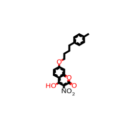 Cc1ccc(CCCCOc2ccc3c(O)c([N+](=O)[O-])c(=O)oc3c2)cc1